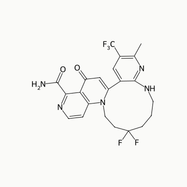 Cc1nc2c(cc1C(F)(F)F)-c1cc(=O)c3c(C(N)=O)nccc3n1CCC(F)(F)CCCN2